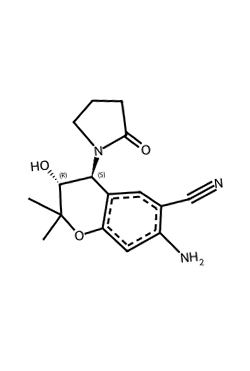 CC1(C)Oc2cc(N)c(C#N)cc2[C@H](N2CCCC2=O)[C@H]1O